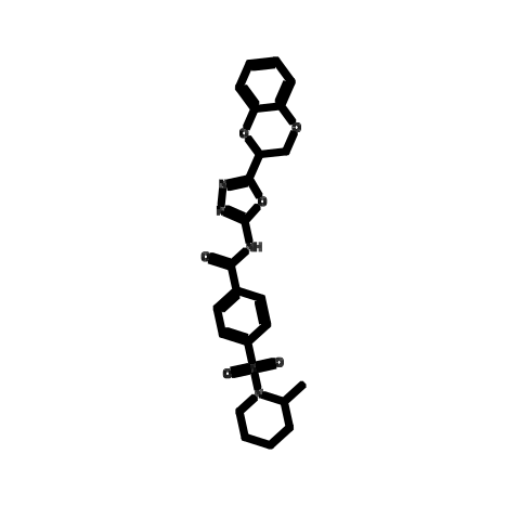 CC1CCCCN1S(=O)(=O)c1ccc(C(=O)Nc2nnc(C3COc4ccccc4O3)o2)cc1